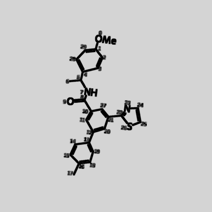 COc1ccc(C(C)NC(=O)c2cc(-c3ccc(C)cc3)cc(-c3nccs3)c2)cc1